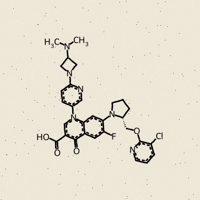 CN(C)C1CN(c2ccc(-n3cc(C(=O)O)c(=O)c4cc(F)c(N5CCC[C@@H]5COc5ncccc5Cl)cc43)cn2)C1